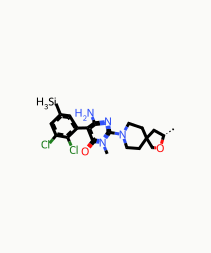 C[C@H]1CC2(CCN(c3nc(N)c(-c4cc([SiH3])cc(Cl)c4Cl)c(=O)n3C)CC2)CO1